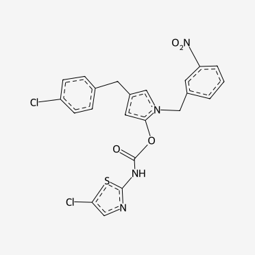 O=C(Nc1ncc(Cl)s1)Oc1cc(Cc2ccc(Cl)cc2)cn1Cc1cccc([N+](=O)[O-])c1